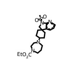 CCOC(=O)N1CCCN(C2CCC3(CC2)CN(S(C)(=O)=O)c2ncccc23)CC1